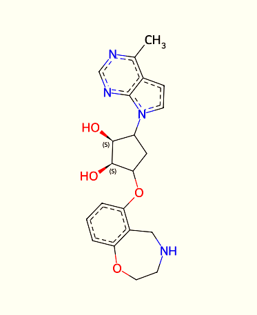 Cc1ncnc2c1ccn2C1CC(Oc2cccc3c2CNCCO3)[C@@H](O)[C@H]1O